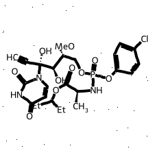 C#C[C@@](O)([C@H](O)[C@@H](COP(=O)(N[C@@H](C)C(=O)OC(CC)CC)Oc1ccc(Cl)cc1)OC)n1ccc(=O)[nH]c1=O